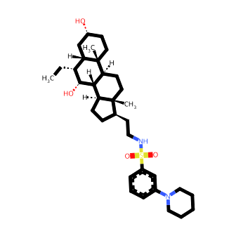 CC[C@H]1[C@@H](O)[C@@H]2[C@H](CC[C@]3(C)[C@@H](CCNS(=O)(=O)c4cccc(N5CCCCC5)c4)CC[C@@H]23)[C@@]2(C)CC[C@@H](O)C[C@@H]12